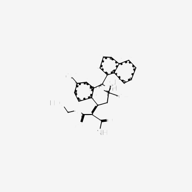 CCOC(=O)C(C(N)=O)=C(CC(C)(C)C)c1ccc(Cl)cc1C(O)c1cccc2ccccc12